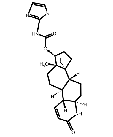 C[C@]12CC[C@@H]3[C@H]4C=CC(=O)N[C@@H]4CC[C@H]3[C@@H]1CC[C@@H]2OC(=O)Nc1nccs1